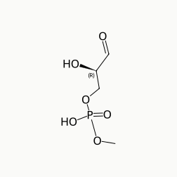 COP(=O)(O)OC[C@@H](O)C=O